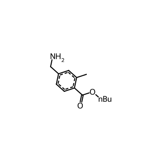 CCCCOC(=O)c1ccc(CN)cc1C